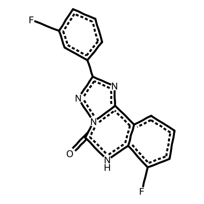 O=c1[nH]c2c(F)cccc2c2nc(-c3cccc(F)c3)nn12